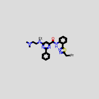 CCN(CCN(C)C)c1cc(C(=O)Nc2ccccc2-c2nnc(CC(C)C)s2)nc(-c2ccccc2)n1